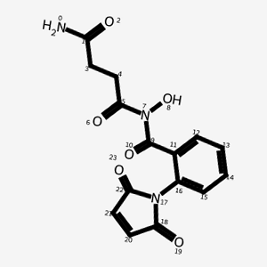 NC(=O)CCC(=O)N(O)C(=O)c1ccccc1N1C(=O)C=CC1=O